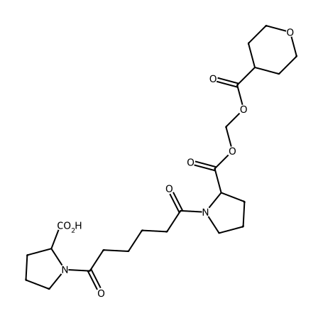 O=C(OCOC(=O)C1CCCN1C(=O)CCCCC(=O)N1CCCC1C(=O)O)C1CCOCC1